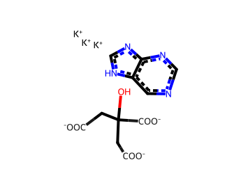 O=C([O-])CC(O)(CC(=O)[O-])C(=O)[O-].[K+].[K+].[K+].c1ncc2[nH]cnc2n1